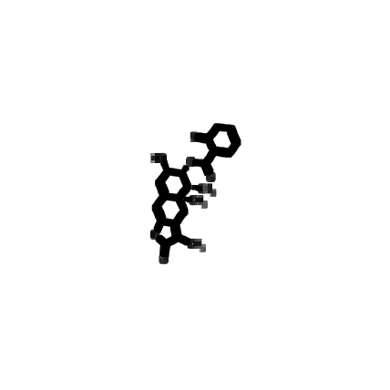 CC1=C2C[C@@]3(C)C(=C[C@@H](O)[C@H](OC(=O)C4=CC=CCC4=S)[C@@H]3C)C=C2OC1=O